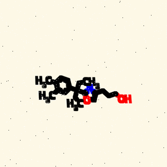 CCC(CC)(c1ccc(C)c(C)c1)c1nc(CCCO)co1